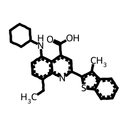 CCc1ccc(NC2CCCCC2)c2c(C(=O)O)cc(-c3sc4ccccc4c3C)nc12